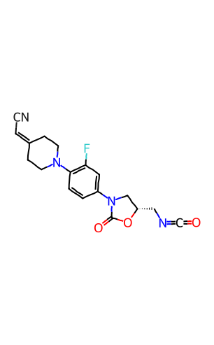 N#CC=C1CCN(c2ccc(N3C[C@H](CN=C=O)OC3=O)cc2F)CC1